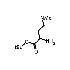 [CH2]NCCC(N)C(=O)OC(C)(C)C